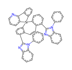 C1=Cc2c(-c3nc4ccccc4n3-c3ccccc3)cccc2[Si]2(c3ccccc3-c3ncccc32)c2cccc(-c3nc4ccccc4n3-c3ccccc3)c21